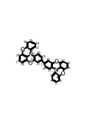 c1ccc2c(c1)Oc1cccc3c1N2c1ccc(-c2ccc4c(c2)Oc2cccc5c2N4c2ccccc2O5)cc1O3